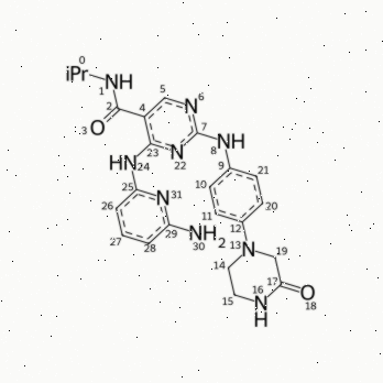 CC(C)NC(=O)c1cnc(Nc2ccc(N3CCNC(=O)C3)cc2)nc1Nc1cccc(N)n1